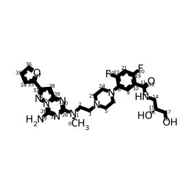 CN(CCN1CCN(c2cc(C(=O)NC[C@@H](O)CO)c(F)cc2F)CC1)c1nc(N)n2nc(-c3ccco3)cc2n1